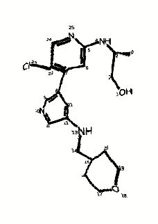 C[C@@H](CO)Nc1cc(-c2cncc(NCC3CCOCC3)c2)c(Cl)cn1